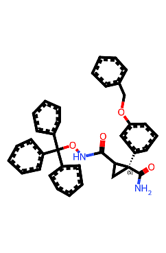 NC(=O)[C@@]1(c2cccc(OCc3ccccc3)c2)CC1C(=O)NOC(c1ccccc1)(c1ccccc1)c1ccccc1